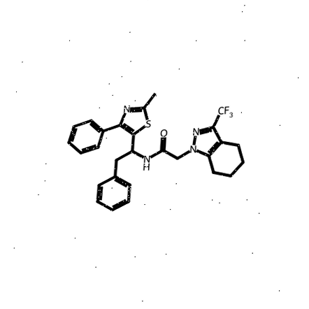 Cc1nc(-c2ccccc2)c(C(Cc2ccccc2)NC(=O)Cn2nc(C(F)(F)F)c3c2CCCC3)s1